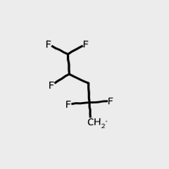 [CH2]C(F)(F)CC(F)C(F)F